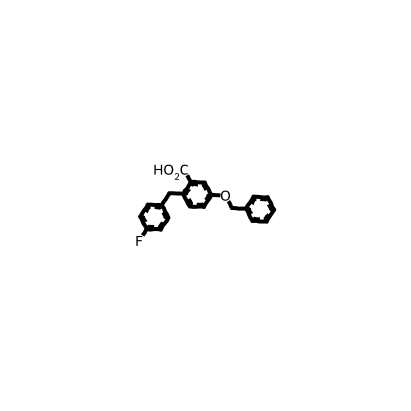 O=C(O)c1cc(OCc2ccccc2)ccc1Cc1ccc(F)cc1